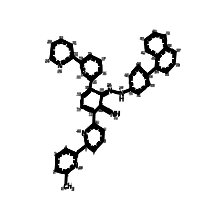 Cc1cccc(-c2cccc(C3=CC=C(c4cccc(-c5ccccn5)n4)/C(=N/Nc4ccc(-c5cccc6ccccc56)cc4)C3=N)n2)n1